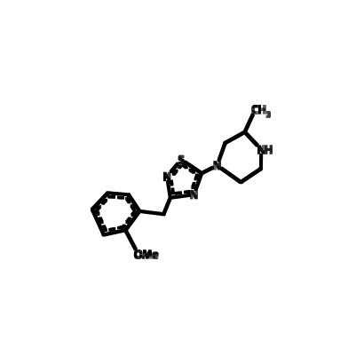 COc1ccccc1Cc1nsc(N2CCNC(C)C2)n1